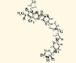 CC(=O)c1c(C)c2cnc(Nc3ccc(C4CCN(C(=O)C5CN(c6ccc(NC7CCC(=O)NC7=O)cc6)C5)CC4)cn3)nc2n(C2CCCC2)c1=O